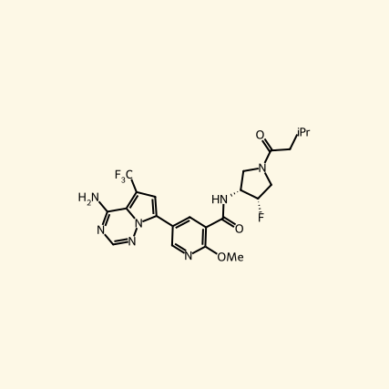 COc1ncc(-c2cc(C(F)(F)F)c3c(N)ncnn23)cc1C(=O)N[C@@H]1CN(C(=O)CC(C)C)C[C@@H]1F